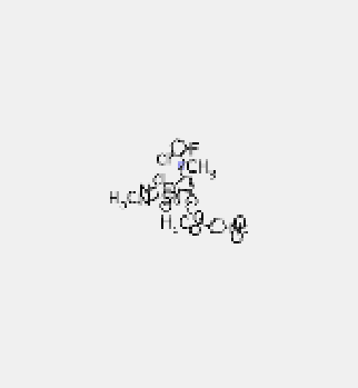 CCn1cc(S(=O)(=O)N2CC(C(C)OC(=O)c3ccc([N+](=O)[O-])cc3)Oc3ccc(/C=C(\C)c4c(F)cccc4Cl)cc32)c(Cl)n1